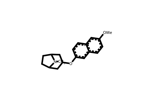 COc1ccc2cc(OC3CC4CCC(C3)N4C)ccc2c1